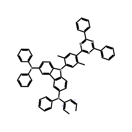 C/C=C\C(=C/C)N(c1ccccc1)c1ccc2c(c1)c1cc(N(c3ccccc3)c3ccccc3)ccc1n2-c1cc(C)c(-c2nc(-c3ccccc3)nc(-c3ccccc3)n2)cc1C